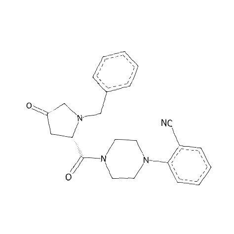 N#Cc1ccccc1N1CCN(C(=O)[C@@H]2CC(=O)CN2Cc2ccccc2)CC1